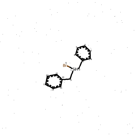 Br[SiH](Cc1ccccc1)Cc1ccccc1